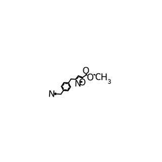 CCOC(=O)c1cc(Cc2ccc(CC#N)cc2)no1